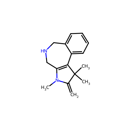 C=C1N(C)C2=C(c3ccccc3CNC2)C1(C)C